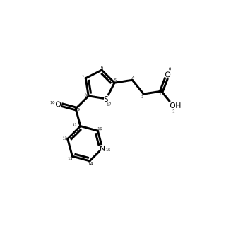 O=C(O)CCc1ccc(C(=O)c2cccnc2)s1